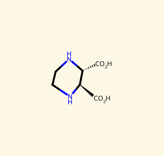 O=C(O)[C@H]1NCCN[C@@H]1C(=O)O